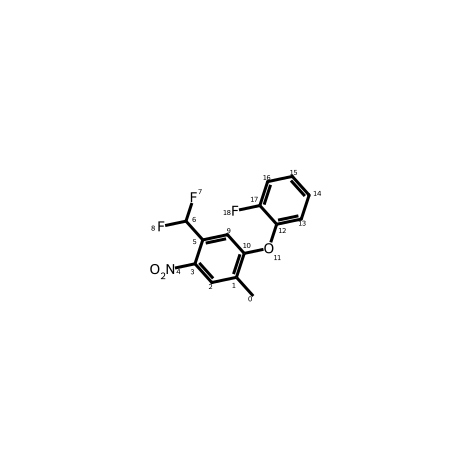 Cc1cc([N+](=O)[O-])c(C(F)F)cc1Oc1ccccc1F